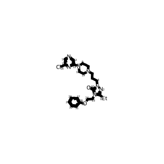 CCc1nn(CCCN2CCN(c3cncc(Cl)n3)CC2)c(=O)n1CCOc1ccccc1